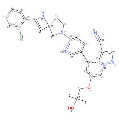 CC(C)(O)COc1cc(-c2ccc(N3CC[C@@]4(C=C(c5ccccc5Cl)N4)C3)nc2)c2c(C#N)cnn2c1